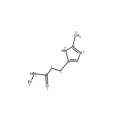 CCNC(=O)CCc1[c]nc(C)[nH]1